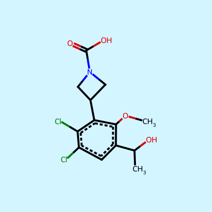 COc1c(C(C)O)cc(Cl)c(Cl)c1C1CN(C(=O)O)C1